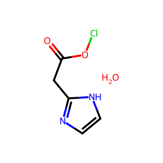 O.O=C(Cc1ncc[nH]1)OCl